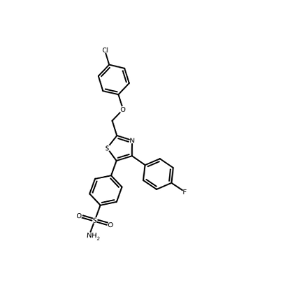 NS(=O)(=O)c1ccc(-c2sc(COc3ccc(Cl)cc3)nc2-c2ccc(F)cc2)cc1